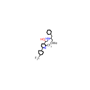 COCC(Cc1ccccc1)NCC(O)c1ccc(-c2ccc(C(F)(F)F)cc2)nc1C(F)(F)F